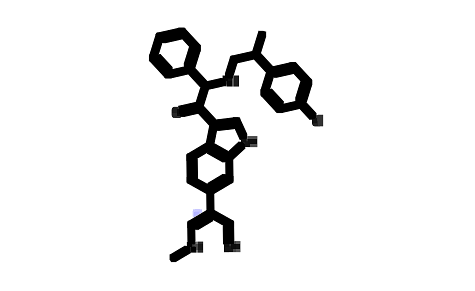 CN/C=C(\C=N)c1ccc2c(C(=O)C(NCC(C)c3ccc(Cl)cc3)c3ccccc3)c[nH]c2c1